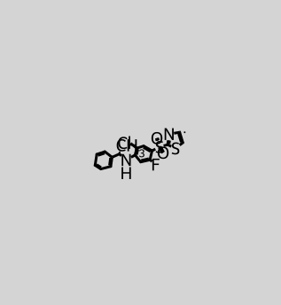 C[C@H](Nc1cc(F)c(S(=O)(=O)c2n[c]cs2)cc1Cl)c1ccccc1